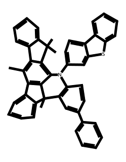 Cc1c2c(c3c4c1-c1ccccc1C4(C)c1cc(-c4ccccc4)ccc1N3c1ccc3c(c1)sc1ccccc13)C(C)(C)c1ccccc1-2